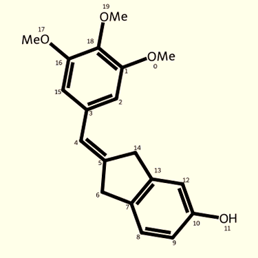 COc1cc(C=C2Cc3ccc(O)cc3C2)cc(OC)c1OC